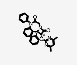 Cc1cc(C)nc(O[C@@H]2C(=O)N3CC(=O)N(c4ccccc4)c4ccccc4[C@@]23c2ccccc2)n1